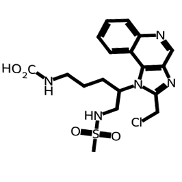 CS(=O)(=O)NCC(CCCNC(=O)O)n1c(CCl)nc2cnc3ccccc3c21